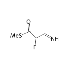 CSC(=O)C(F)C=N